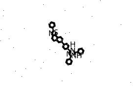 c1ccc(-c2nc3ccc4cc(-c5ccc(C6=NC(c7ccccc7)NC(c7ccccc7)N6)cc5)ccc4c3s2)cc1